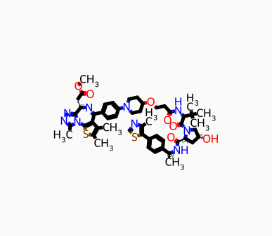 COC(=O)C[C@@H]1N=C(c2ccc(N3CCC(OCCC(=O)NC(C(=O)N4C[C@H](O)C[C@H]4C(=O)N[C@@H](C)c4ccc(-c5scnc5C)cc4)C(C)(C)C)CC3)cc2)c2c(sc(C)c2C)-n2c(C)nnc21